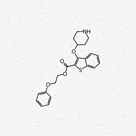 O=C(OCCOc1ccccc1)c1sc2ccccc2c1OC1CCNCC1